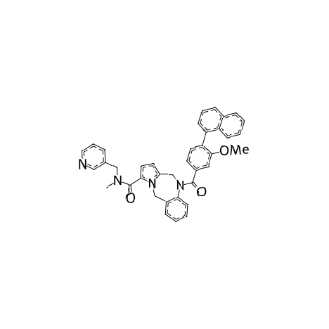 COc1cc(C(=O)N2Cc3ccc(C(=O)N(C)Cc4cccnc4)n3Cc3ccccc32)ccc1-c1cccc2ccccc12